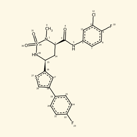 CN1[C@@H](C(=O)Nc2ccc(F)c(Cl)c2)C[C@@H](c2cc(-c3ccc(F)cc3)cs2)NS1(=O)=O